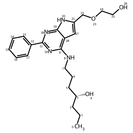 CCC[C@@H](O)CCCNc1nc(-c2ccccc2)nc2[nH]c(COCCO)cc12